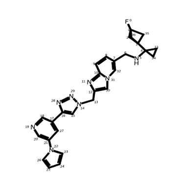 FC12CC(C3(NCc4ccc5nc(Cn6cc(-c7cncc(-n8cccc8)c7)nn6)cn5c4)CC3)(C1)C2